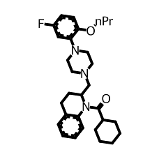 CCCOc1ccc(F)cc1N1CCN(CC2CCc3ccccc3N2C(=O)C2CCCCC2)CC1